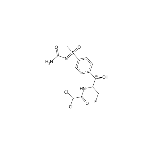 CS(=O)(=NC(N)=O)c1ccc([C@@H](O)C(CF)NC(=O)C(Cl)Cl)cc1